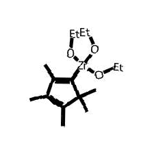 CC[O][Zr]([O]CC)([O]CC)[C]1=C(C)C(C)=C(C)C1(C)C